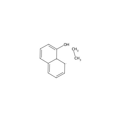 CC.OC1=CC=CC2=CC=C[CH][C]12